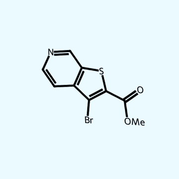 COC(=O)c1sc2cnccc2c1Br